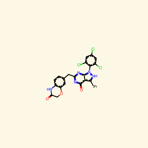 CC(C)c1[nH]n(-c2c(Cl)cc(Cl)cc2Cl)c2nc(Cc3ccc4c(c3)OCC(=O)N4)nc(=O)c1-2